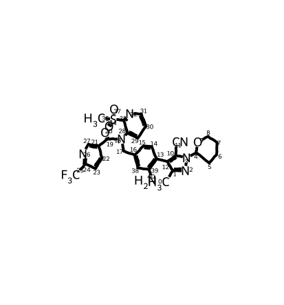 Cc1nn(C2CCCCO2)c(C#N)c1-c1ccc(CN(C(=O)c2ccc(C(F)(F)F)nc2)c2cccnc2S(C)(=O)=O)cc1N